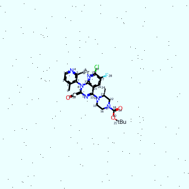 Cc1ccnc(C(C)C)c1N1C(=C=O)N=C(N2CCN(C(=O)OC(C)(C)C)C[C@@H]2C)c2cc(F)c(Cl)nc21